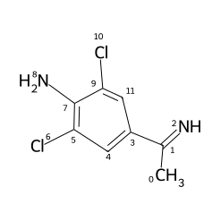 CC(=N)c1cc(Cl)c(N)c(Cl)c1